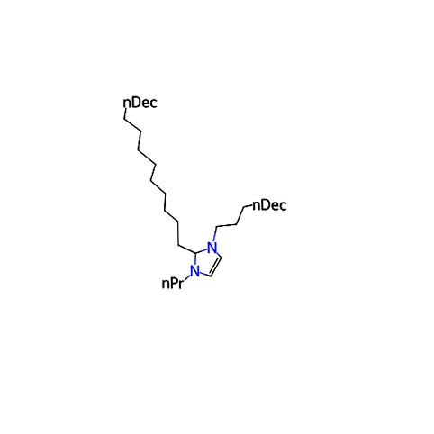 CCCCCCCCCCCCCCCCCCCC1N(CCC)C=CN1CCCCCCCCCCCCC